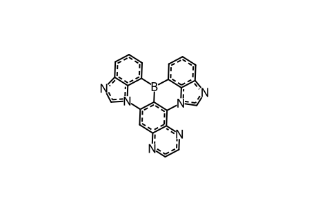 c1cc2c3c(c1)ncn3-c1cc3nccnc3c3c1B2c1cccc2ncn-3c12